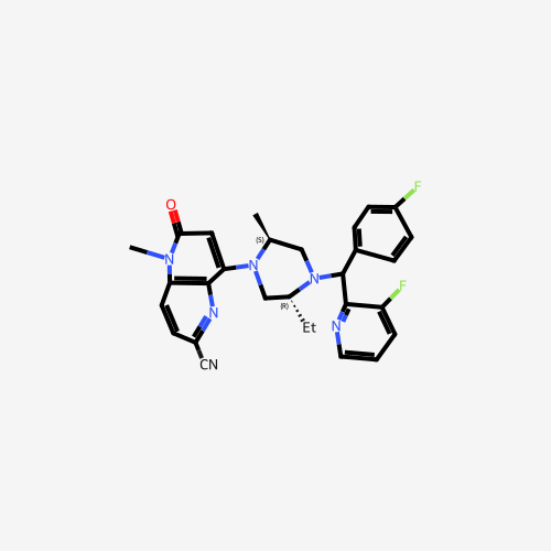 CC[C@@H]1CN(c2cc(=O)n(C)c3ccc(C#N)nc23)[C@@H](C)CN1C(c1ccc(F)cc1)c1ncccc1F